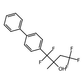 CC(O)(CC(F)(F)F)C(F)(F)c1ccc(-c2ccccc2)cc1